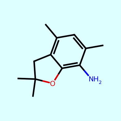 Cc1cc(C)c2c(c1N)OC(C)(C)C2